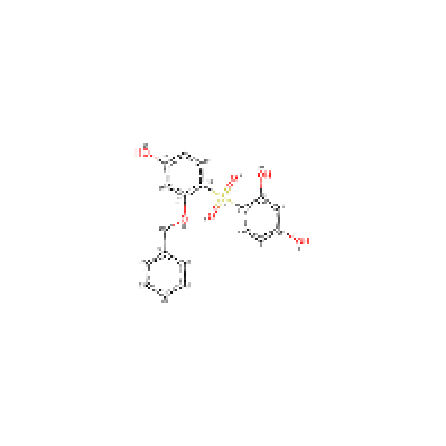 O=S(=O)(c1ccc(O)cc1O)c1ccc(O)cc1OCc1ccccc1